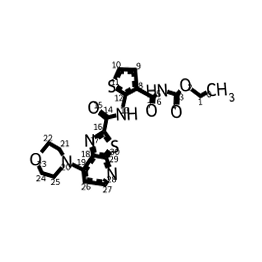 CCOC(=O)NC(=O)c1ccsc1NC(=O)c1nc2c(N3CCOCC3)ccnc2s1